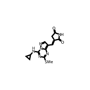 CSc1nc(NC2CC2)n2ncc(/C=C3\CC(=O)NC3=O)c2n1